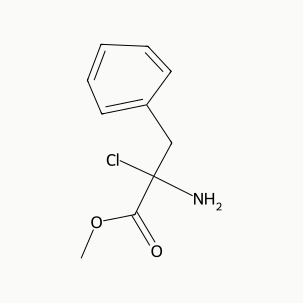 COC(=O)C(N)(Cl)Cc1ccccc1